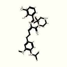 COc1cc(CC/C=C(/N=C/c2cccc(Cl)c2F)C(=O)N2CCOCC2(C)C)ccc1OC(C)C